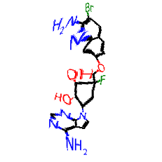 Nc1nc2cc(OCC3(F)C[C@@H](n4ccc5c(N)ncnc54)[C@H](O)[C@@H]3O)ccc2cc1Br